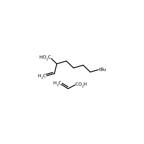 C=CC(=O)O.C=CC(CCCCC(C)(C)C)C(=O)O